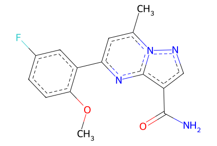 COc1ccc(F)cc1-c1cc(C)n2ncc(C(N)=O)c2n1